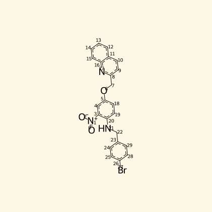 O=[N+]([O-])c1cc(OCc2ccc3ccccc3n2)ccc1NCc1ccc(Br)cc1